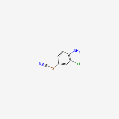 N#CSc1ccc(N)c(Cl)c1